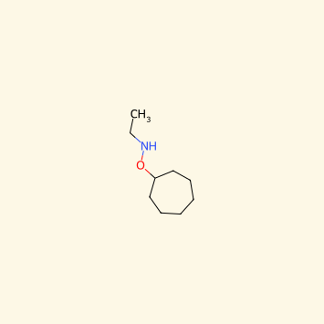 CCNOC1CCCCCC1